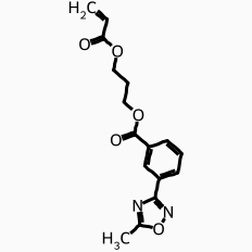 C=CC(=O)OCCCOC(=O)c1cccc(-c2noc(C)n2)c1